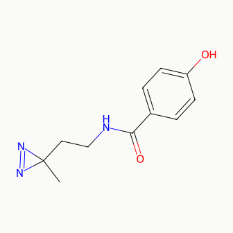 CC1(CCNC(=O)c2ccc(O)cc2)N=N1